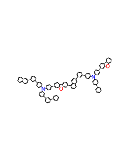 c1ccc(-c2ccc(N(c3ccc(-c4cccc(-c5ccc6c(-c7ccc8c(c7)oc7cc(-c9ccc(N(c%10ccc(-c%11cccc(-c%12ccc%13ccccc%13c%12)c%11)cc%10)c%10cccc(-c%11cccc(-c%12ccccc%12)c%11)c%10)cc9)ccc78)cccc6c5)c4)cc3)c3ccc(-c4ccc5c(c4)oc4ccccc45)cc3)cc2)cc1